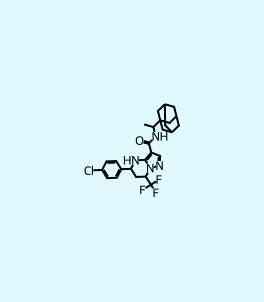 CC(NC(=O)c1cnn2c1NC(c1ccc(Cl)cc1)CC2C(F)(F)F)C12CC3CC(CC(C3)C1)C2